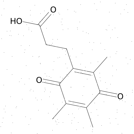 CC1=C(C)C(=O)C(CCC(=O)O)=C(C)C1=O